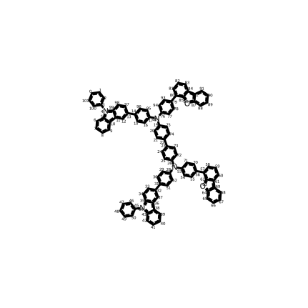 c1ccc(-n2c3ccccc3c3cc(-c4ccc(N(c5ccc(-c6ccc(N(c7ccc(-c8ccc9c(c8)c8ccccc8n9-c8ccccc8)cc7)c7ccc(-c8cccc9c8oc8ccccc89)cc7)cc6)cc5)c5ccc(-c6cccc7c6oc6ccccc67)cc5)cc4)ccc32)cc1